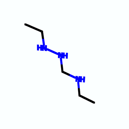 CCNCNNCC